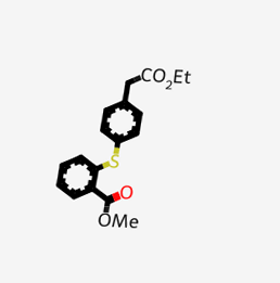 CCOC(=O)Cc1ccc(Sc2ccccc2C(=O)OC)cc1